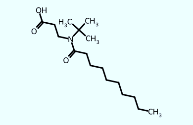 CCCCCCCCCC(=O)N(CCC(=O)O)C(C)(C)C